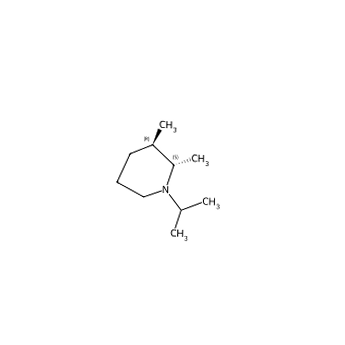 CC(C)N1CCC[C@@H](C)[C@@H]1C